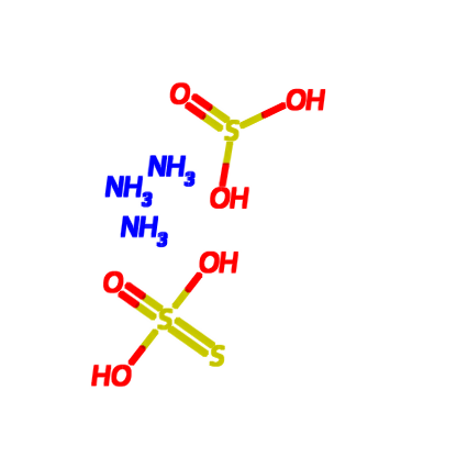 N.N.N.O=S(O)(O)=S.O=S(O)O